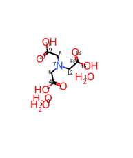 O.O.O.O=C(O)CN(CC(=O)O)CC(=O)O